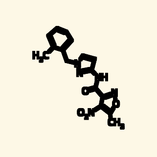 Cc1ccccc1Cn1ccc(NC(=O)c2noc(C)c2[N+](=O)[O-])n1